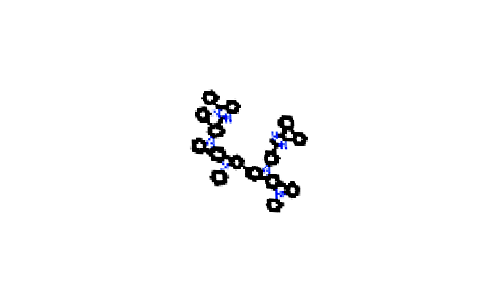 c1ccc(-c2cc(-n3c4ccccc4c4cc5c(cc43)c3ccc(-c4ccc6c7cc8c(cc7n(-c7ccc(-c9cnc%10c%11ccccc%11c%11ccccc%11c%10n9)cc7)c6c4)c4ccccc4n8-c4ccccc4)cc3n5-c3ccccc3)ccc2-c2nc(-c3ccccc3)c3ccccc3n2)cc1